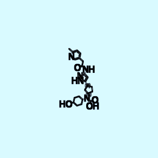 Cc1ccc(CC(=O)Nc2cc([C@@H]3CC[C@H](N(C(=O)O)[C@H]4CC[C@H](O)CC4)C3)[nH]n2)cn1